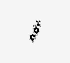 CN(C)C(=S)Nc1ccc(Oc2cccc(Cl)n2)cc1